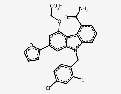 NC(=O)c1cccc2c1c1c(OCC(=O)O)cc(-c3ccco3)cc1n2Cc1ccc(Cl)cc1Cl